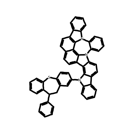 c1ccc(C2Cc3cc(-n4c5ccccc5c5ccc6c(c7ccc8ccc9c%10ccccc%10n%10c%11ccccc%11n6c7c8c9%10)c54)ccc3Sc3ccccc32)cc1